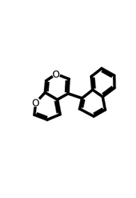 C1=COC2=COC=C(c3cccc4ccccc34)C2=C1